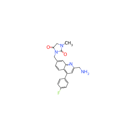 CN1CC(=O)N(Cc2ccc3c(-c4ccc(F)cc4)cc(CN)nc3c2)C1=O